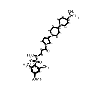 COc1cc(C)c(S(=O)(=O)N(C)CCC(=O)N2CCC(N3CCC(N4CCC(N(C)C)CC4)CC3)C2)c(C)c1